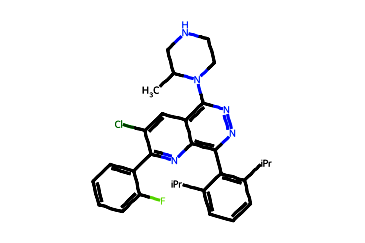 CC(C)c1cccc(C(C)C)c1-c1nnc(N2CCNCC2C)c2cc(Cl)c(-c3ccccc3F)nc12